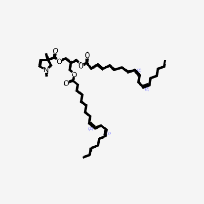 CCCCC/C=C\C/C=C\CCCCCCCC(=O)OCC(COC(=O)CCCCCCC/C=C\C/C=C\CCCCC)COC(=O)C1(C)CCN(C)C1